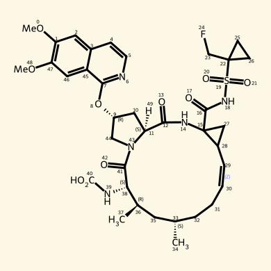 COc1cc2ccnc(O[C@@H]3C[C@H]4C(=O)NC5(C(=O)NS(=O)(=O)C6(CF)CC6)CC5/C=C\CC[C@H](C)C[C@@H](C)[C@H](NC(=O)O)C(=O)N4C3)c2cc1OC